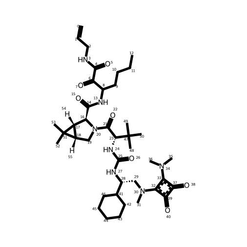 C=CCNC(=O)C(=O)C(CCCC)NC(=O)[C@@H]1[C@@H]2[C@H](CN1C(=O)[C@@H](NC(=O)N[C@H](CN(C)c1c(N(C)C)c(=O)c1=O)C1CCCCC1)C(C)(C)C)C2(C)C